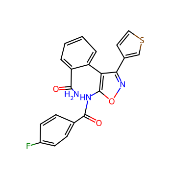 NC(=O)c1ccccc1-c1c(-c2ccsc2)noc1NC(=O)c1ccc(F)cc1